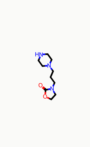 O=C1OCCN1CCCN1CCNCC1